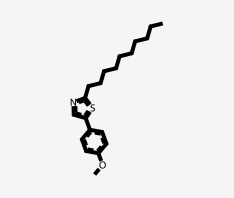 CCCCCCCCCCc1ncc(-c2ccc(OC)cc2)s1